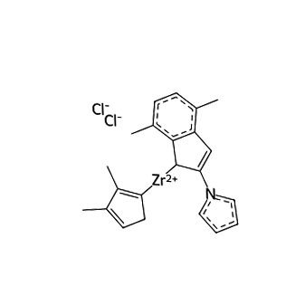 CC1=CC[C]([Zr+2][CH]2C(n3cccc3)=Cc3c(C)ccc(C)c32)=C1C.[Cl-].[Cl-]